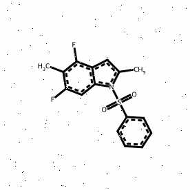 Cc1c(F)cc2c(cc(C)n2S(=O)(=O)c2ccccc2)c1F